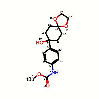 CC(C)(C)OC(=O)Nc1ccc(C2(O)CCC3(CC2)OCCO3)cc1